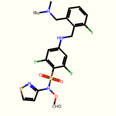 CN(Cc1cccc(F)c1CNc1cc(F)c(S(=O)(=O)N(OC=O)c2ccsn2)c(F)c1)C(C)(C)C